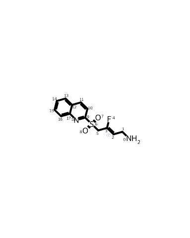 NC/C=C(\F)CS(=O)(=O)c1ccc2ccccc2n1